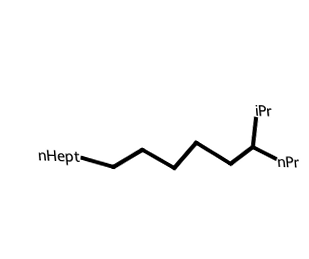 [CH2]CCC(CCCCCCCCCCCC)C(C)C